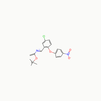 C=C(/N=C/c1cc(Cl)ccc1Oc1ccc([N+](=O)[O-])cc1)O[Si](C)(C)C